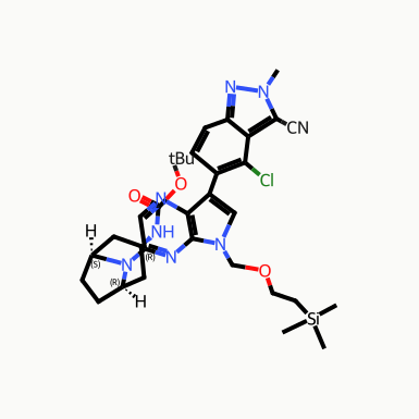 Cn1nc2ccc(-c3cn(COCC[Si](C)(C)C)c4nc(N5[C@@H]6CC[C@H]5C[C@@H](NC(=O)OC(C)(C)C)C6)cnc34)c(Cl)c2c1C#N